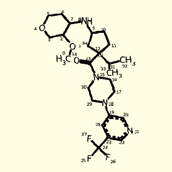 COC1COCCC1NC1CC[C@@](C(=O)N2CCN(c3cncc(C(F)(F)F)c3)CC2)(C(C)C)C1